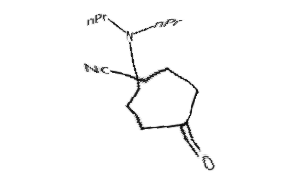 CCCN(CCC)C1(C#N)CCC(=O)CC1